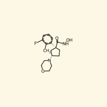 Cc1c(F)cccc1[C@]1(C(=O)NO)CC[C@H](N2CCOCC2)C1